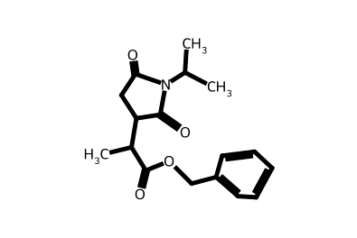 CC(C(=O)OCc1ccccc1)C1CC(=O)N(C(C)C)C1=O